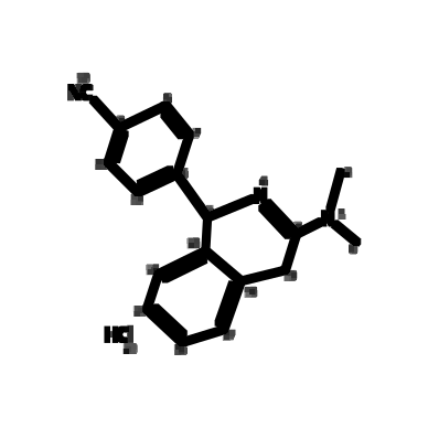 CN(C)C1=NC(c2ccc(C#N)cc2)c2ccccc2C1.Cl